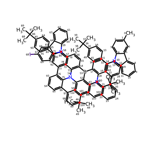 Cc1ccc2c(c1)c1ccccc1n2-c1ccc2c(c1)N(c1ccccc1-c1cccc(-c3ccc(C(C)(C)C)cc3)c1)c1cc(C(C)(C)C)cc3c1B2c1ccc(-n2c4ccccc4c4cc(I)ccc42)cc1N3c1c(-c2cccc(-c3ccc(C(C)(C)C)cc3)c2)cccc1-c1cccc(-c2ccc(C(C)(C)C)cc2)c1